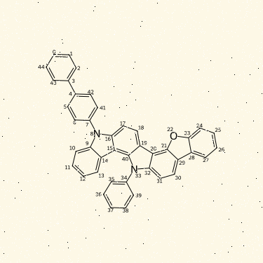 c1ccc(-c2ccc(-n3c4ccccc4c4c3ccc3c5c6oc7ccccc7c6ccc5n(-c5ccccc5)c34)cc2)cc1